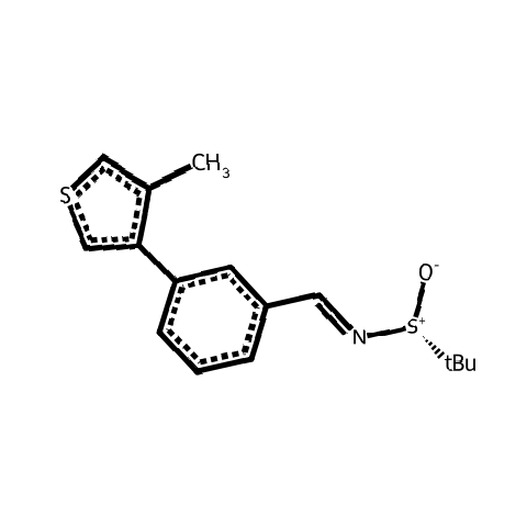 Cc1cscc1-c1cccc(C=N[S@+]([O-])C(C)(C)C)c1